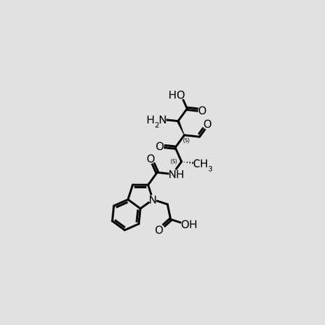 C[C@H](NC(=O)c1cc2ccccc2n1CC(=O)O)C(=O)[C@H](C=O)C(N)C(=O)O